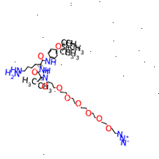 CC(C)[C@H](NC(=O)CCOCCOCCOCCOCCOCCOCCN=[N+]=[N-])C(=O)N[C@@H](CCCCNN)C(=O)Nc1ccc(O[Si](C)(C)C(C)(C)C)cc1